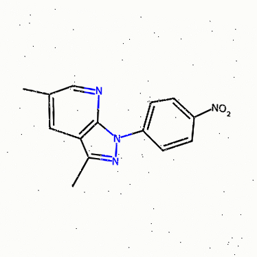 Cc1cnc2c(c1)c(C)nn2-c1ccc([N+](=O)[O-])cc1